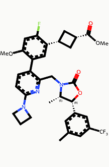 COc1cc(F)c([C@H]2C[C@@H](C(=O)OC)C2)cc1-c1ccc(N2CCC2)nc1CN1C(=O)O[C@H](c2cc(C)cc(C(F)(F)F)c2)[C@@H]1C